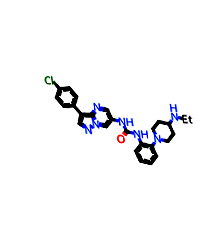 CCNC1CCN(c2ccccc2NC(=O)Nc2cnc3c(-c4ccc(Cl)cc4)cnn3c2)CC1